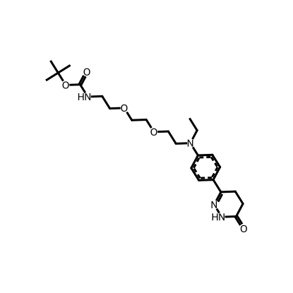 CCN(CCOCCOCCNC(=O)OC(C)(C)C)c1ccc(C2=NNC(=O)CC2)cc1